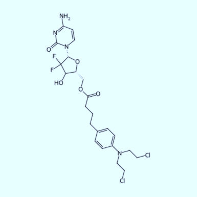 Nc1ccn([C@@H]2O[C@H](COC(=O)CCCc3ccc(N(CCCl)CCCl)cc3)C(O)C2(F)F)c(=O)n1